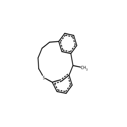 CC1c2cccc(c2)CCCCSc2cccc1c2